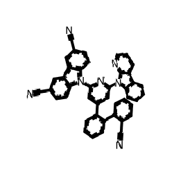 N#Cc1ccc2c(c1)c1cc(C#N)ccc1n2-c1cc(-c2ccccc2-c2ccccc2C#N)cc(-n2c3ccccc3c3cccnc32)n1